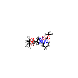 CC(C)(C)OC(=O)N1CCCCC1n1cc(B2OC(C)(C)C(C)(C)O2)cn1